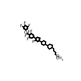 COCCCCC1CCC(C2CCC(c3ccc(-c4cc(F)c(C(F)(F)Oc5cc(F)c(F)c(F)c5)c(F)c4)c(F)c3)CC2)CC1